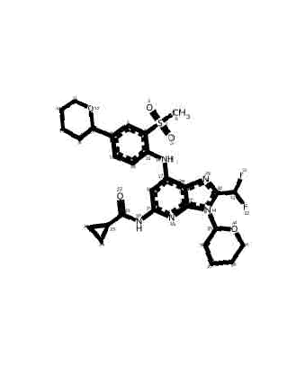 CS(=O)(=O)c1cc(C2CCCCO2)ccc1Nc1cc(NC(=O)C2CC2)nc2c1nc(C(F)F)n2C1CCCCO1